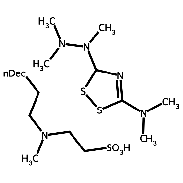 CCCCCCCCCCCCN(C)CCS(=O)(=O)O.CN(C)C1=NC(N(C)N(C)C)SS1